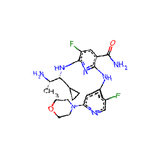 C[C@H](N)[C@H](Nc1nc(Nc2cc(N3CCOCC3)ncc2F)c(C(N)=O)cc1F)C1CC1